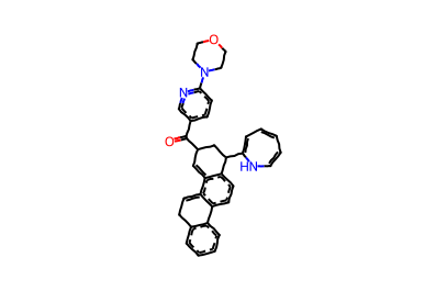 O=C(c1ccc(N2CCOCC2)nc1)C1C=c2c(ccc3c2=CCc2ccccc2-3)C(C2=CC=CC=CN2)C1